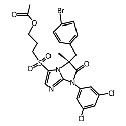 CC(=O)OCCCS(=O)(=O)c1cnc2n1[C@](C)(Cc1ccc(Br)cc1)C(=O)N2c1cc(Cl)cc(Cl)c1